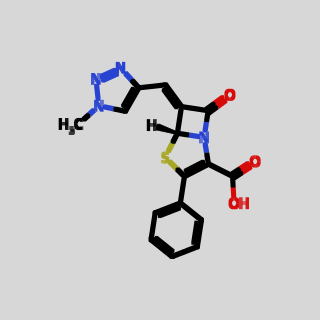 Cn1cc(/C=C2/C(=O)N3C(C(=O)O)=C(c4ccccc4)S[C@H]23)nn1